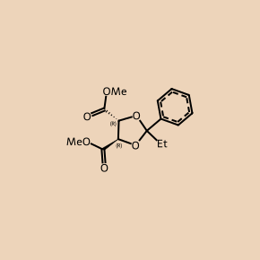 CCC1(c2ccccc2)O[C@@H](C(=O)OC)[C@H](C(=O)OC)O1